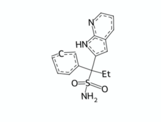 CCC(c1ccccc1)(c1cc2cccnc2[nH]1)S(N)(=O)=O